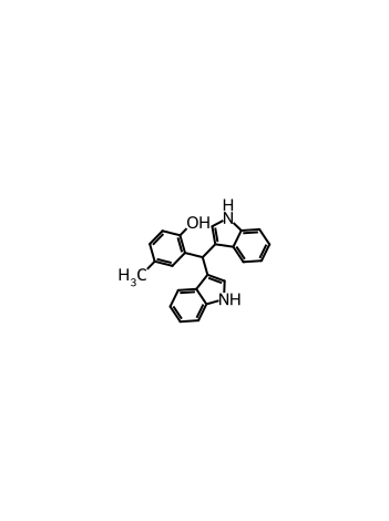 Cc1ccc(O)c(C(c2c[nH]c3ccccc23)c2c[nH]c3ccccc23)c1